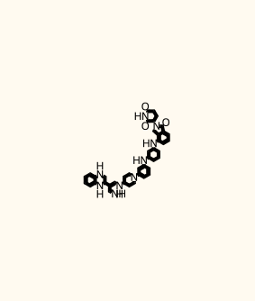 N=C/C(=C\NC1CCN(c2cccc(NC3CCCC(Nc4cccc5c4CN(C4CCC(=O)NC4=O)C5=O)C3)c2)CC1)C1CNc2ccccc2N1